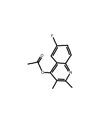 CC(=O)Oc1c(C)c(C)nc2ccc(F)cc12